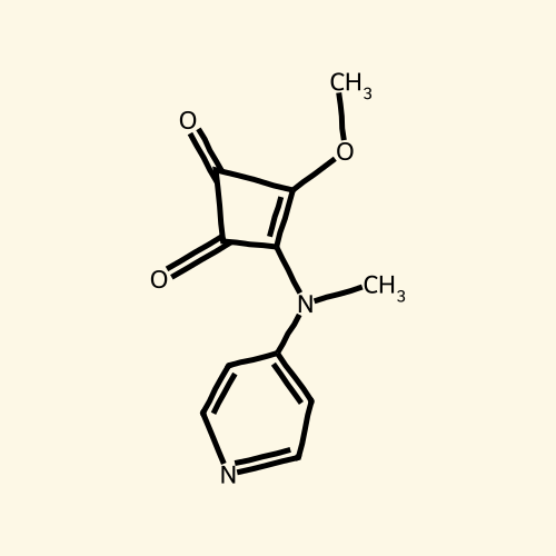 COc1c(N(C)c2ccncc2)c(=O)c1=O